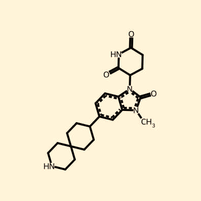 Cn1c(=O)n(C2CCC(=O)NC2=O)c2ccc(C3CCC4(CCNCC4)CC3)cc21